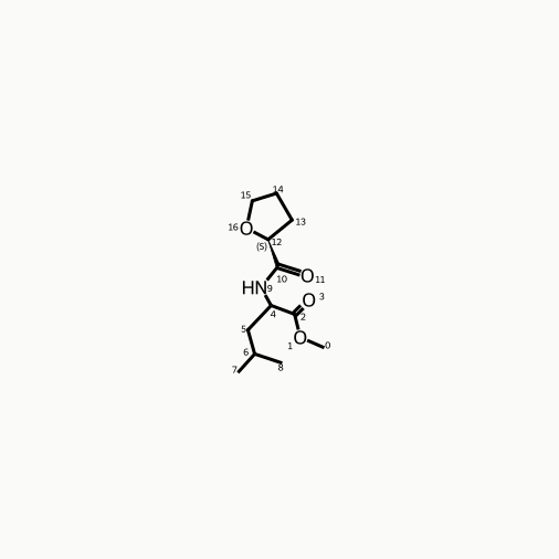 COC(=O)C(CC(C)C)NC(=O)[C@@H]1CCCO1